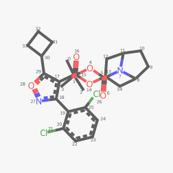 CC(C)(C)OC(=O)N1C2CCC1CC(OC(=O)c1c(-c3c(Cl)cccc3Cl)noc1C1CCC1)C2